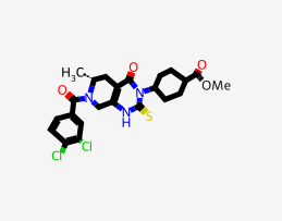 COC(=O)C1CCC(n2c(=S)[nH]c3c(c2=O)C[C@@H](C)N(C(=O)c2ccc(Cl)c(Cl)c2)C3)CC1